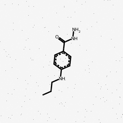 CCCNc1ccc(C(=O)NN)cc1